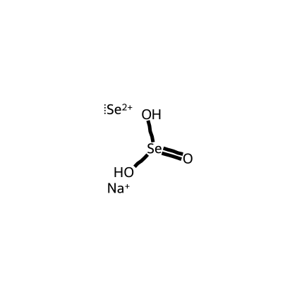 O=[Se](O)O.[Na+].[Se+2]